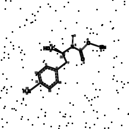 CN(C(=O)OC(C)(C)C)[C@@H](Cc1ccc(N)cc1)C(=O)O